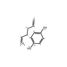 C=CCOC=O.Oc1ccc(O)cc1